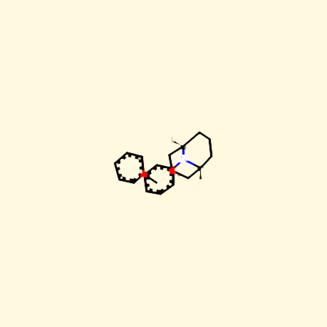 c1ccc(C[C@H]2C[C@H]3CCC[C@@H](C2)N3c2ccccc2)cc1